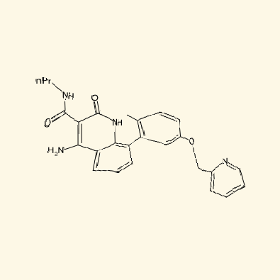 CCCNC(=O)c1c(N)c2cccc(-c3cc(OCc4ccccn4)ccc3C)c2[nH]c1=O